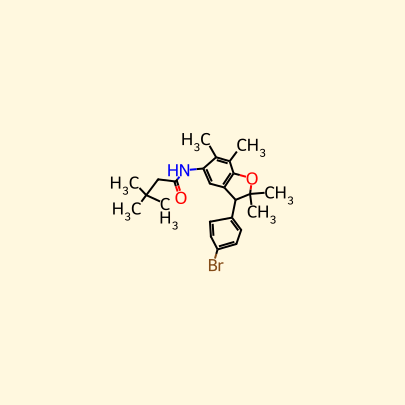 Cc1c(NC(=O)CC(C)(C)C)cc2c(c1C)OC(C)(C)C2c1ccc(Br)cc1